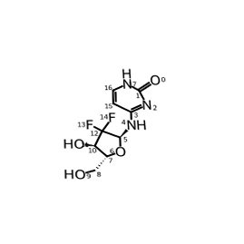 O=c1nc(N[C@H]2O[C@H](CO)[C@@H](O)C2(F)F)cc[nH]1